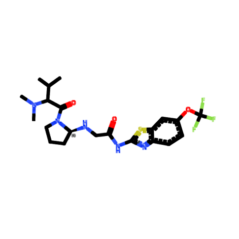 CC(C)C(C(=O)N1CCC[C@@H]1NCC(=O)Nc1nc2ccc(OC(F)(F)F)cc2s1)N(C)C